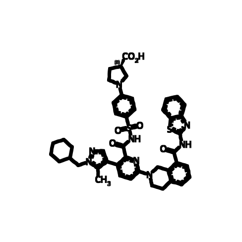 Cc1c(-c2ccc(N3CCc4cccc(C(=O)Nc5nc6ccccc6s5)c4C3)nc2C(=O)NS(=O)(=O)c2ccc(N3CC[C@@H](C(=O)O)C3)cc2)cnn1CC1CCCCC1